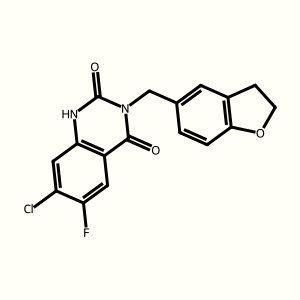 O=c1[nH]c2cc(Cl)c(F)cc2c(=O)n1Cc1ccc2c(c1)CCO2